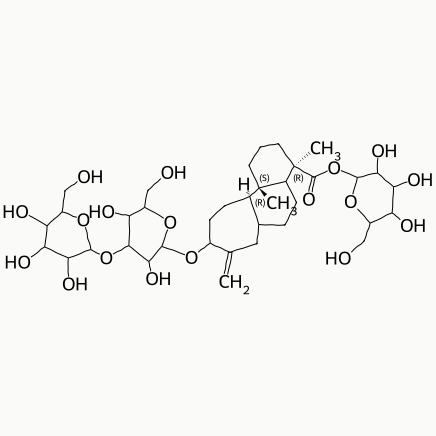 C=C1CC2CCC3[C@](C)(C(=O)OC4OC(CO)C(O)C(O)C4O)CCC[C@@]3(C)[C@@H]2CCC1OC1OC(CO)C(O)C(OC2OC(CO)C(O)C(O)C2O)C1O